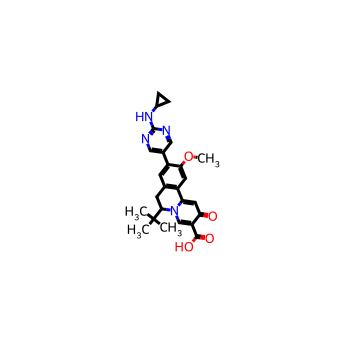 COc1cc2c(cc1-c1cnc(NC3CC3)nc1)CC(C(C)(C)C)n1cc(C(=O)O)c(=O)cc1-2